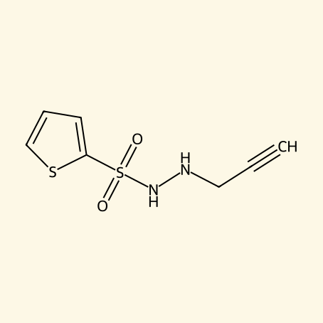 C#CCNNS(=O)(=O)c1cccs1